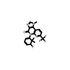 Cn1cnc2c(=O)n(C3=CC=CC(F)C3(C)C)c3nc(C(F)(F)F)ccc3c21